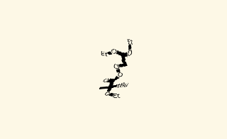 CCOC(COOC(=O)C(C)(OCC)C(C)(C)C)OCC